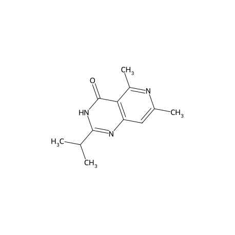 Cc1cc2nc(C(C)C)[nH]c(=O)c2c(C)n1